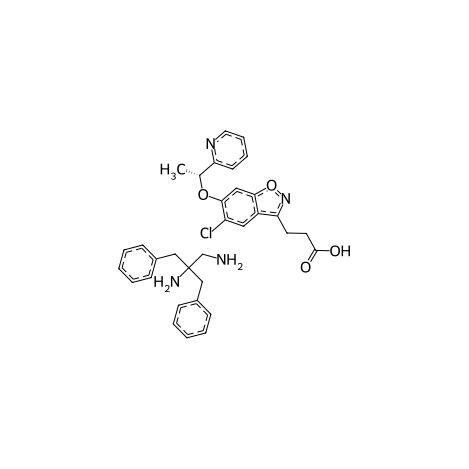 C[C@@H](Oc1cc2onc(CCC(=O)O)c2cc1Cl)c1ccccn1.NCC(N)(Cc1ccccc1)Cc1ccccc1